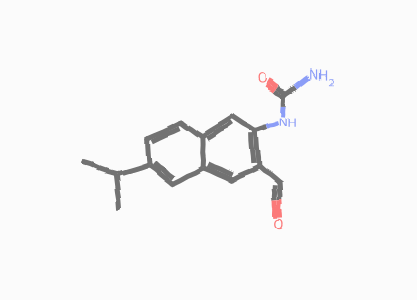 CC(C)c1ccc2cc(NC(N)=O)c(C=O)cc2c1